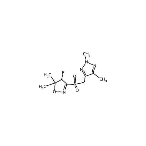 Cc1nn(C)nc1CS(=O)(=O)C1=NOC(C)(C)C1F